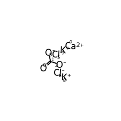 O=C([O-])[O-].[Ca+2].[Cl-].[Cl-].[K+].[K+]